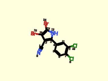 N#Cc1c(-c2ccc(Cl)c(Cl)c2)[nH]c(Br)c1Br